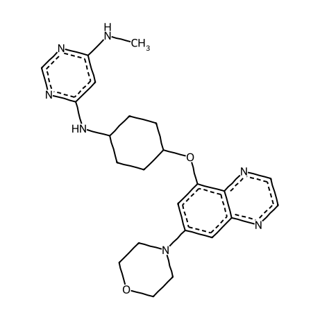 CNc1cc(NC2CCC(Oc3cc(N4CCOCC4)cc4nccnc34)CC2)ncn1